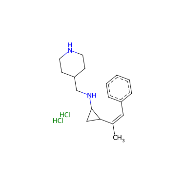 CC(=Cc1ccccc1)C1CC1NCC1CCNCC1.Cl.Cl